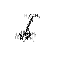 CC(C)CCOCCOCCOCC(=O)NC(COC(C)C)(COC(C)C)COC(C)C